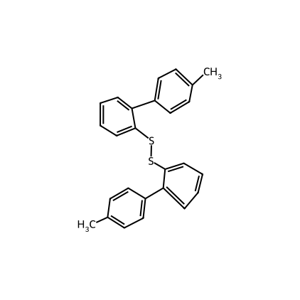 Cc1ccc(-c2ccccc2SSc2ccccc2-c2ccc(C)cc2)cc1